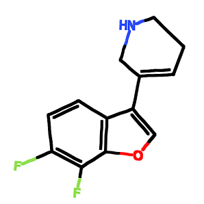 Fc1ccc2c(C3=CCCNC3)coc2c1F